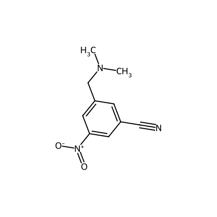 CN(C)Cc1cc(C#N)cc([N+](=O)[O-])c1